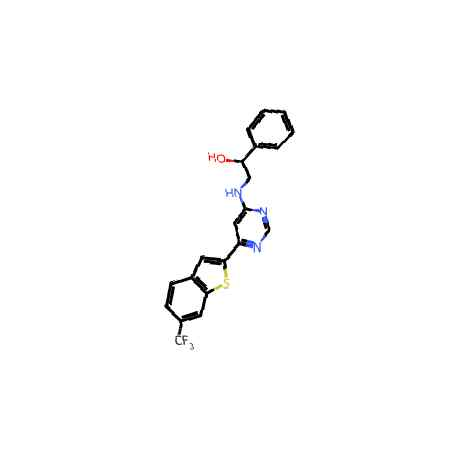 OC(CNc1cc(-c2cc3ccc(C(F)(F)F)cc3s2)ncn1)c1ccccc1